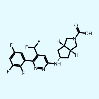 O=C(O)N1C[C@H]2C[C@@H](Nc3cc(C(F)F)c(-c4cc(F)cc(F)c4F)nn3)C[C@H]2C1